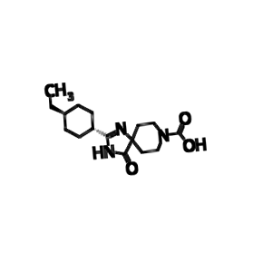 CC[C@H]1CC[C@H](C2=NC3(CCN(C(=O)O)CC3)C(=O)N2)CC1